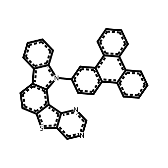 c1ccc2c(c1)c1ccccc1c1cc(-n3c4ccccc4c4ccc5sc6cncnc6c5c43)ccc21